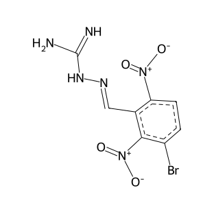 N=C(N)N/N=C/c1c([N+](=O)[O-])ccc(Br)c1[N+](=O)[O-]